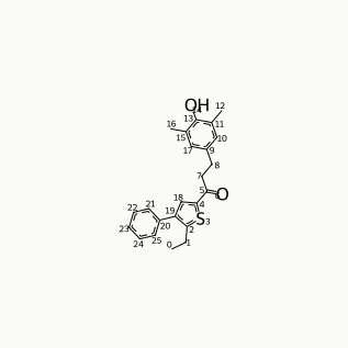 CCc1sc(C(=O)CCc2cc(C)c(O)c(C)c2)cc1-c1ccccc1